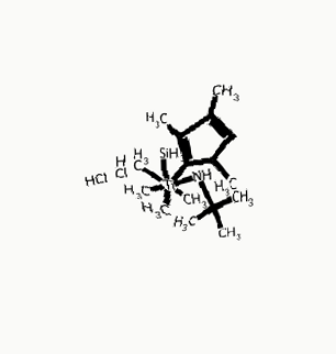 CC1=CC(C)[C]([Ti]([CH3])([CH3])([CH3])([CH3])([SiH3])[NH]C(C)(C)C)=C1C.Cl.Cl